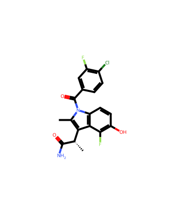 Cc1c([C@H](C)C(N)=O)c2c(F)c(O)ccc2n1C(=O)c1ccc(Cl)c(F)c1